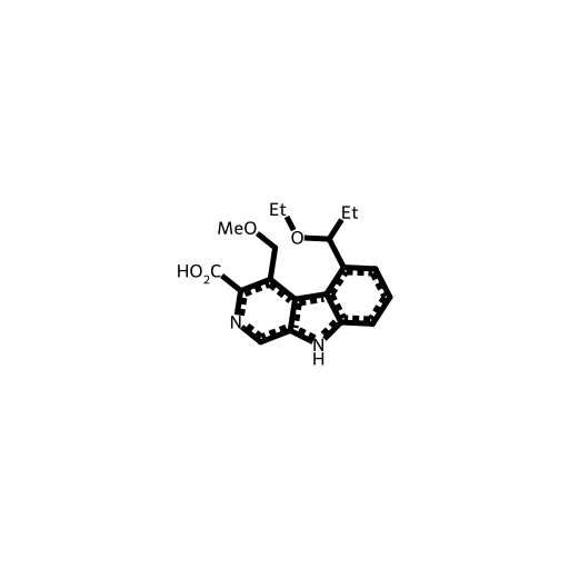 CCOC(CC)c1cccc2[nH]c3cnc(C(=O)O)c(COC)c3c12